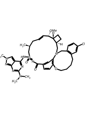 CO[C@H]1/C=C/C[C@H](C)CS(=O)(Nc2nc(N(C)C)nc3nn(C)cc23)=NC(=O)c2ccc3c(c2)N(Cc2ccc(Cl)cc2CCCCO3)C[C@@H]2CC[C@H]21